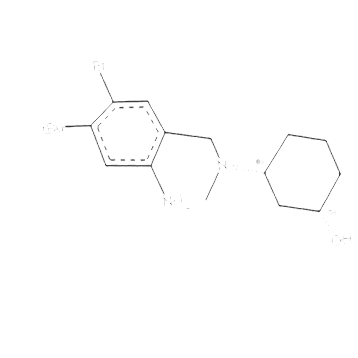 CN(Cc1cc(Br)c(C(C)(C)C)cc1N)[C@@H]1CCC[C@H](O)C1